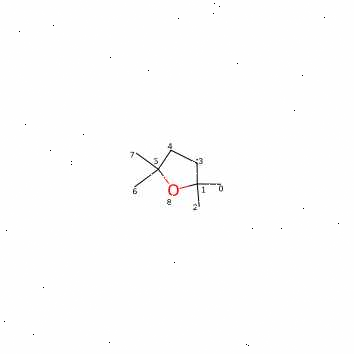 CC1(C)[CH]CC(C)(C)O1